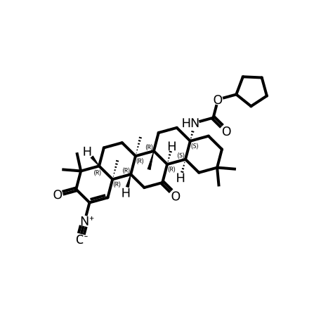 [C-]#[N+]C1=C[C@]2(C)[C@H]3CC(=O)[C@@H]4[C@@H]5CC(C)(C)CC[C@]5(NC(=O)OC5CCCC5)CC[C@@]4(C)[C@]3(C)CC[C@H]2C(C)(C)C1=O